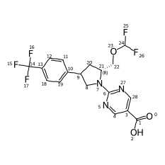 O=C(O)c1cnc(N2CC(c3ccc(C(F)(F)F)cc3)C[C@@H]2COC(F)F)nc1